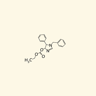 CCOC(=O)OC1N=CN(Cc2ccccc2)C1c1ccccc1